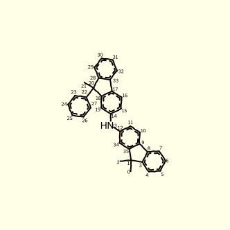 CC1(C)c2ccccc2-c2ccc(Nc3ccc4c(c3)C(C)(c3ccccc3)c3ccccc3-4)cc21